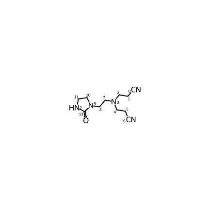 N#CCCN(CCC#N)CCN1CCNC1=O